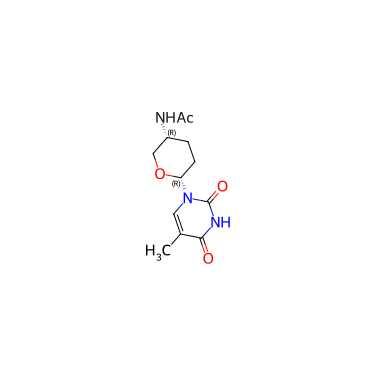 CC(=O)N[C@@H]1CC[C@H](n2cc(C)c(=O)[nH]c2=O)OC1